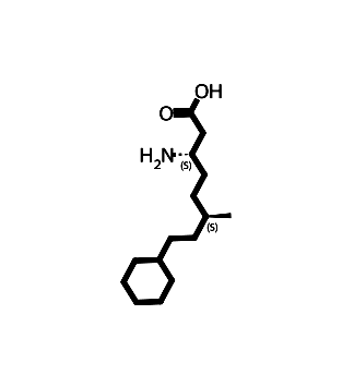 C[C@@H](CCC1CCCCC1)CC[C@H](N)CC(=O)O